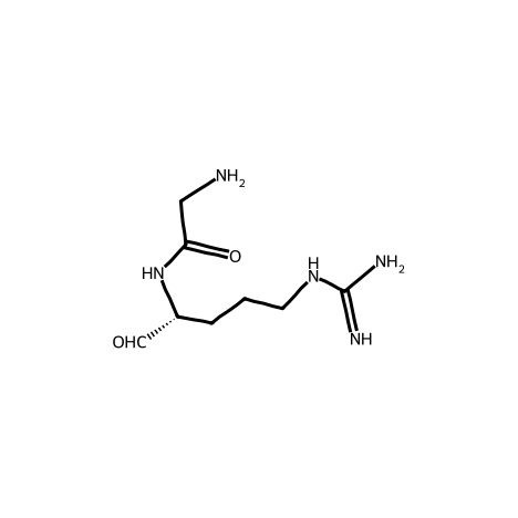 N=C(N)NCCC[C@H](C=O)NC(=O)CN